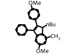 CCCCC1C(c2ccc(OC)cc2)=C(c2ccccc2)c2cc(OC)cc(C)c21